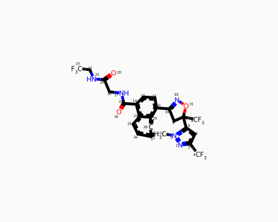 Cn1nc(C(F)(F)F)cc1C1(C(F)(F)F)CC(c2ccc(C(=O)NCC(=O)NCC(F)(F)F)c3ccccc23)=NO1